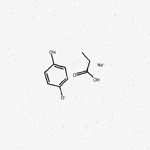 CCC(=O)O.[Na+].[O-]c1ccc(O)cc1